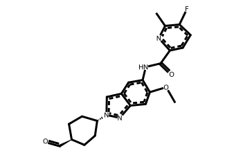 COc1cc2nn([C@H]3CC[C@H](C=O)CC3)cc2cc1NC(=O)c1ccc(F)c(C)n1